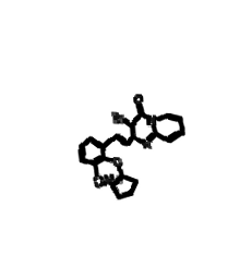 COc1cccc(C=Cc2nc3ccccn3c(=O)c2Br)c1OC1CCCC1